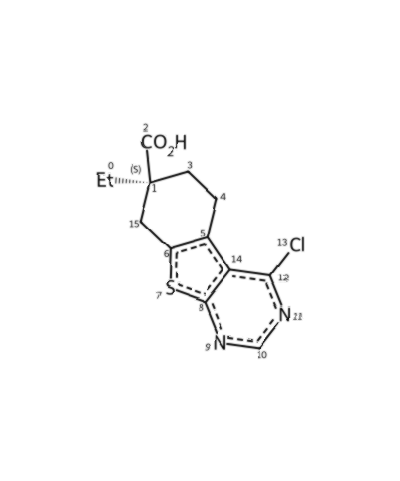 CC[C@]1(C(=O)O)CCc2c(sc3ncnc(Cl)c23)C1